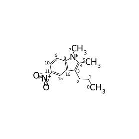 CCCc1c(C)n(C)c2ccc([N+](=O)[O-])cc12